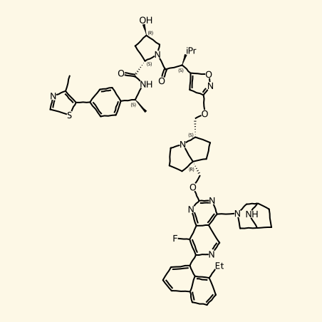 CCc1cccc2cccc(-c3ncc4c(N5CC6CCC(C5)N6)nc(OC[C@]56CCCN5[C@H](COc5cc([C@@H](C(=O)N7C[C@H](O)C[C@H]7C(=O)N[C@@H](C)c7ccc(-c8scnc8C)cc7)C(C)C)on5)CC6)nc4c3F)c12